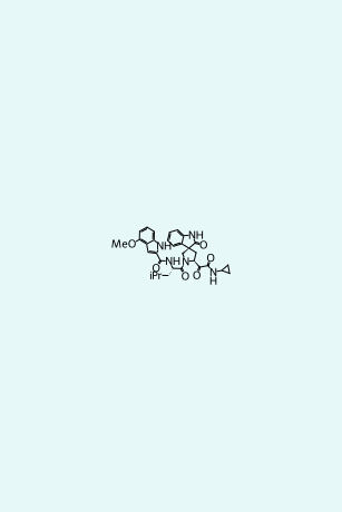 COc1cccc2[nH]c(C(=O)N[C@@H](CC(C)C)C(=O)N3C[C@]4(C[C@H]3C(=O)C(=O)NC3CC3)C(=O)Nc3ccccc34)cc12